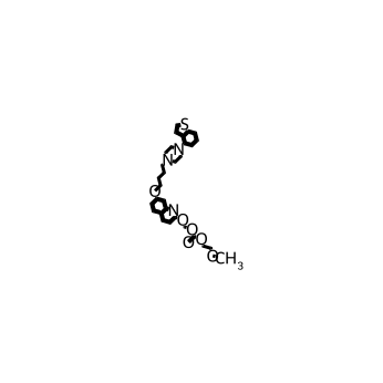 COCCOC(=O)OCOc1ccc2ccc(OCCCCN3CCN(c4cccc5sccc45)CC3)cc2n1